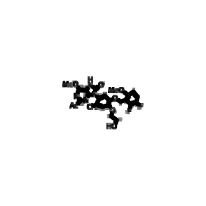 COc1ccc(F)c(F)c1COc1cc(-n2c(=O)[nH]c3c(OC)nc(C(C)=O)nc32)c(Cl)cc1OCCO